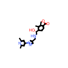 Cc1cc(-n2cc(CNC[C@H](O)c3ccc4c(c3C)COC4=O)cn2)cc(C)n1